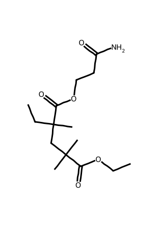 CCOC(=O)C(C)(C)CC(C)(CC)C(=O)OCCC(N)=O